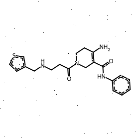 NC1=C(C(=O)Nc2ccccc2)CN(C(=O)CCNCc2ccsc2)CC1